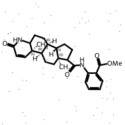 COC(=O)c1ccccc1NC(=O)C1CC[C@H]2[C@@H]3CCC4NC(=O)C=C[C@]4(C)[C@@H]3CC[C@]12C